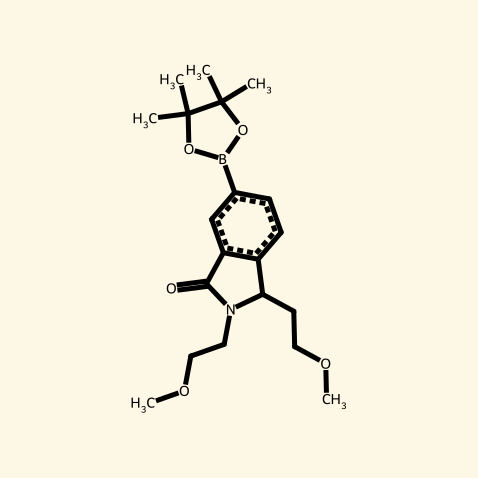 COCCC1c2ccc(B3OC(C)(C)C(C)(C)O3)cc2C(=O)N1CCOC